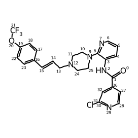 O=C(Nc1cccnc1N1CCN(CC=Cc2ccc(OC(F)(F)F)cc2)CC1)c1ccnc(Cl)c1